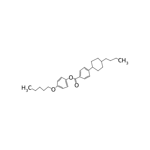 CCCCCOc1ccc(OC(=O)c2ccc(C3CCC(CCCC)CC3)cc2)cc1